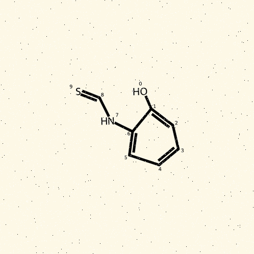 Oc1ccccc1NC=S